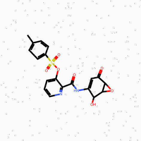 Cc1ccc(S(=O)(=O)Oc2cccnc2C(=O)NC2=CC(=O)C3OC3C2O)cc1